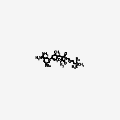 CCCCN1CC(=C(N)N)CN(C2CCC(CN3C(=O)N(COCC[Si](C)(C)C)C(=O)C3(C)C)C(C)C2)C1